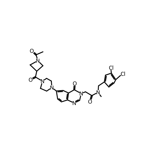 CC(=O)N1CC(C(=O)N2CCN(c3ccc4ncn(CC(=O)N(C)Cc5ccc(Cl)c(Cl)c5)c(=O)c4c3)CC2)C1